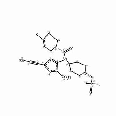 CC1=CC[C@@H](C(=O)N(c2cc(C#CC(C)(C)C)sc2C(=O)O)C2CCC(OP(C)(C)=O)CC2)CC1